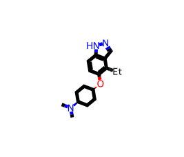 CCc1c(O[C@H]2CC[C@H](N(C)C)CC2)ccc2[nH]ncc12